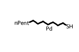 CCCCCCCCCCCCS.[Pd]